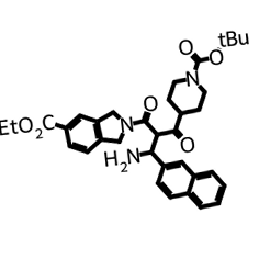 CCOC(=O)c1ccc2c(c1)CN(C(=O)C(C(=O)C1CCN(C(=O)OC(C)(C)C)CC1)C(N)c1ccc3ccccc3c1)C2